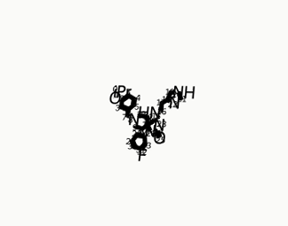 CC(C)Oc1cccc(CN2CCC3(CC2)C(NCCC2CNC=N2)=NC(=O)N3c2cccc(F)c2)c1